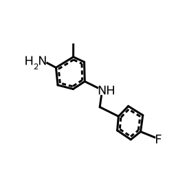 Cc1cc(NCc2ccc(F)cc2)ccc1N